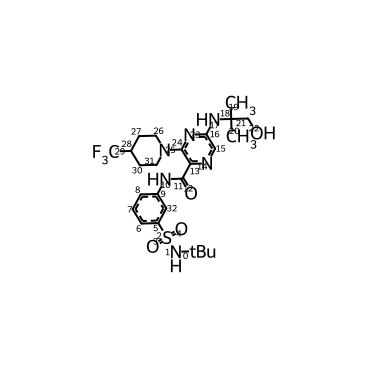 CC(C)(C)NS(=O)(=O)c1cccc(NC(=O)c2ncc(NC(C)(C)CO)nc2N2CCC(C(F)(F)F)CC2)c1